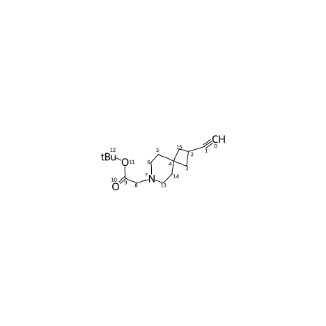 C#CC1CC2(CCN(CC(=O)OC(C)(C)C)CC2)C1